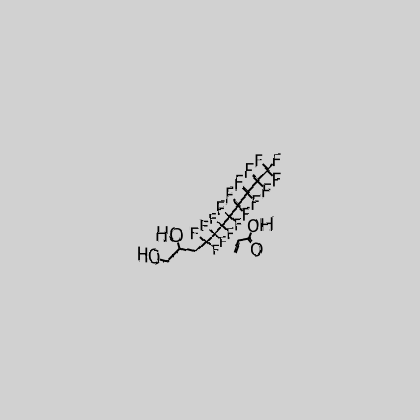 C=CC(=O)O.OCC(O)CC(F)(F)C(F)(F)C(F)(F)C(F)(F)C(F)(F)C(F)(F)C(F)(F)C(F)(F)F